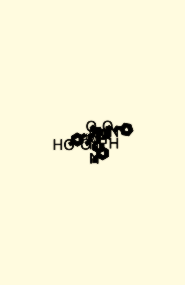 CN(C)c1cccc(F)c1CN1C[C@H]2N(C(=O)CN2N(C)C(=O)NCc2ccccc2)[C@@H](Cc2ccc(O)cc2)C1=O